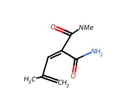 C=C(C)/C=C(\C(N)=O)C(=O)NC